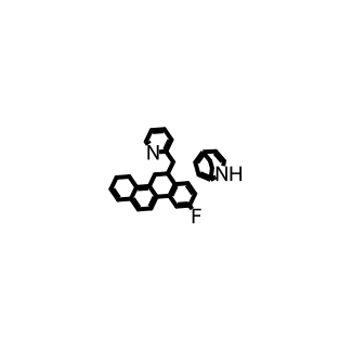 C1=CC2=CC=C(CC2)N1.Fc1ccc2c(c1)-c1ccc3c(c1CC2Cc1ccccn1)CCC=C3